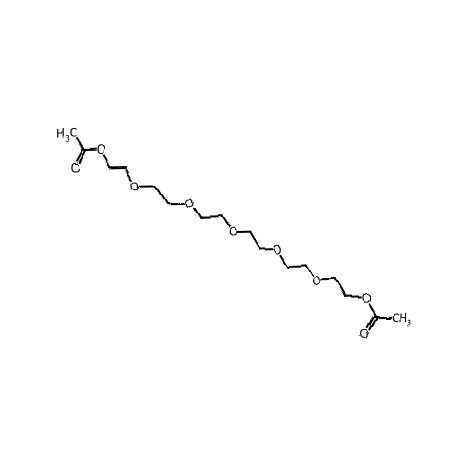 CC(=O)OCCOCCOCCOCCOCCOCCOC(C)=O